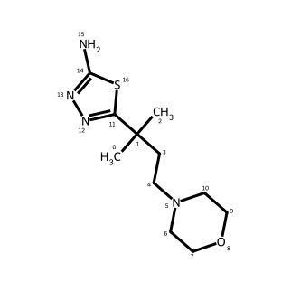 CC(C)(CCN1CCOCC1)c1nnc(N)s1